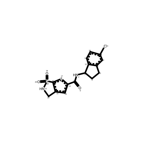 O=C(NC1CCc2cc(Cl)ccc21)c1cc2c(s1)S(=O)(=O)NC2